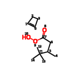 C1=CCC1.CC(CC(=O)OO)C(C)(C)C